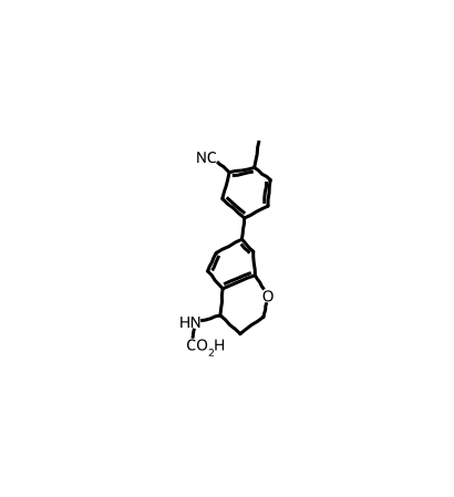 Cc1ccc(-c2ccc3c(c2)OCCC3NC(=O)O)cc1C#N